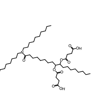 CCCCCCCCCCN(CCCCCCCCCC)C(=O)CCCCCCCC(OC(=O)CCC(=O)O)C(CCCCCCCC)OC(=O)CCC(=O)O